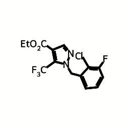 CCOC(=O)c1cnn(Cc2cccc(F)c2Cl)c1C(F)(F)F